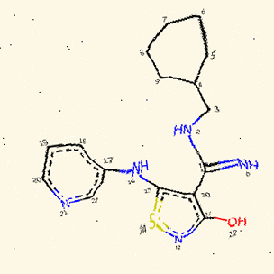 N=C(NCC1CCCCC1)c1c(O)nsc1Nc1cccnc1